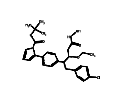 CCO[C@H](CC(=O)NO)C(Cc1ccc(Cl)cc1)c1ccc(-c2cccn2C(=O)OC(C)(C)C)cc1